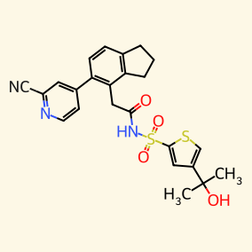 CC(C)(O)c1csc(S(=O)(=O)NC(=O)Cc2c(-c3ccnc(C#N)c3)ccc3c2CCC3)c1